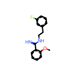 COc1ccccc1C(=N)NCCc1cccc(F)c1